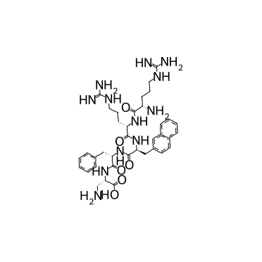 N=C(N)NCCC[C@H](NC(=O)[C@@H](N)CCCNC(=N)N)C(=O)N[C@@H](Cc1ccc2ccccc2c1)C(=O)N[C@@H](Cc1ccccc1)C(=O)N[C@@H](CN)C(=O)O